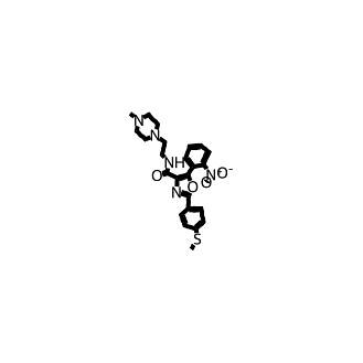 CSc1ccc(-c2nc(C(=O)NCCN3CCN(C)CC3)c(-c3ccccc3[N+](=O)[O-])o2)cc1